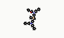 c1ccc(-c2ccc(N(c3ccc(-c4ccccc4)cc3)c3ccc(-c4ccc(-c5ccc(N(c6ccc(-c7ccccc7)cc6)c6ccc(-c7ccccc7)cc6)cc5)p4-c4ccccc4)cc3)cc2)cc1